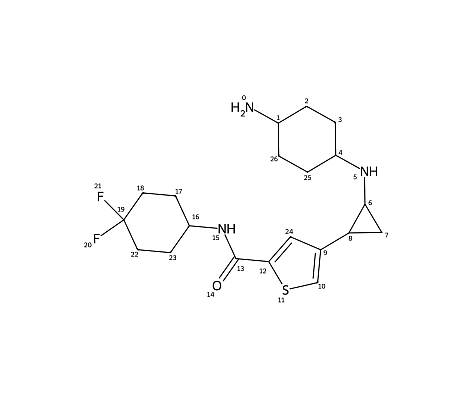 NC1CCC(NC2CC2c2csc(C(=O)NC3CCC(F)(F)CC3)c2)CC1